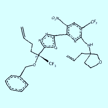 C=CCC[C@@](OCc1ccccc1)(c1nnc(-c2nc(NC3(CC=C)CCOC3)c(C(F)(F)F)cc2[N+](=O)[O-])o1)C(F)(F)F